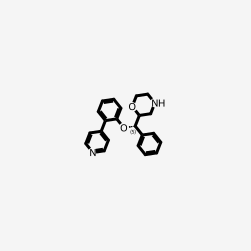 c1ccc([C@H](Oc2ccccc2-c2ccncc2)C2CNCCO2)cc1